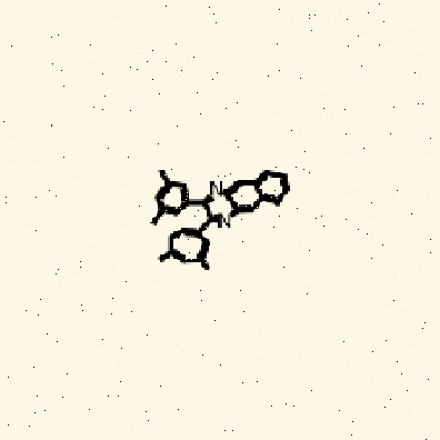 CC1=CC(c2nc3cc4ccccc4cc3nc2-c2cc(C)cc(C)c2)=CCC(C)=C1